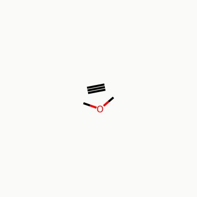 C#C.COC